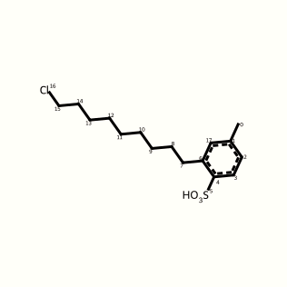 Cc1ccc(S(=O)(=O)O)c(CCCCCCCCCCl)c1